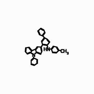 Cc1ccc(Nc2ccc(-c3ccccc3)cc2-c2ccc3c(c2)c2ccccc2n3-c2ccccc2)cc1